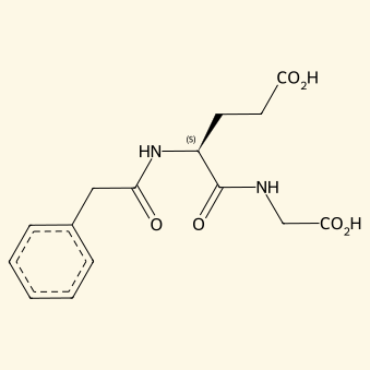 O=C(O)CC[C@H](NC(=O)Cc1ccccc1)C(=O)NCC(=O)O